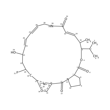 CC(C)C1OC(=O)C2CCCN2C(=O)c2coc(n2)CC(F)CC(O)/C=C/C=C/CNC(=O)/C=C/C1C